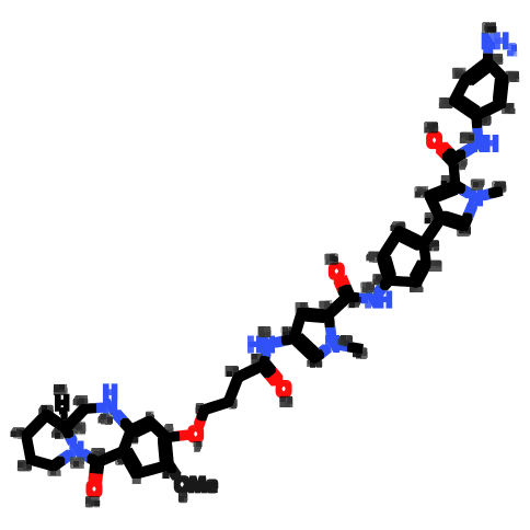 COc1cc2c(cc1OCCCC(=O)Nc1cc(C(=O)Nc3ccc(-c4cc(C(=O)Nc5ccc(N)cc5)n(C)c4)cc3)n(C)c1)NC[C@@H]1CCCCN1C2=O